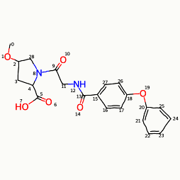 COC1CC(C(=O)O)N(C(=O)CNC(=O)c2ccc(Oc3ccccc3)cc2)C1